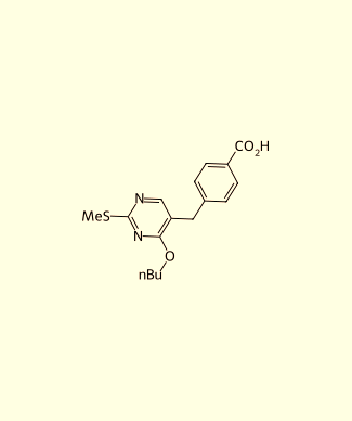 CCCCOc1nc(SC)ncc1Cc1ccc(C(=O)O)cc1